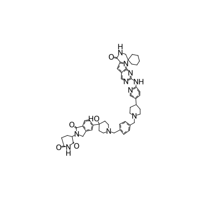 O=C1CCC(N2Cc3cc(C4(O)CCN(Cc5ccc(CN6CCC(c7ccc(Nc8ncc9cc%10n(c9n8)C8(CCCCC8)CNC%10=O)nc7)CC6)cc5)CC4)ccc3C2=O)C(=O)N1